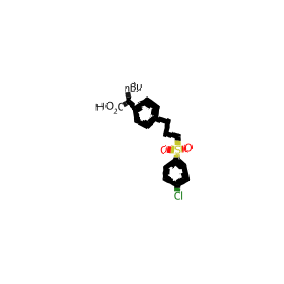 CCCCC(C(=O)O)c1ccc(CCCS(=O)(=O)c2ccc(Cl)cc2)cc1